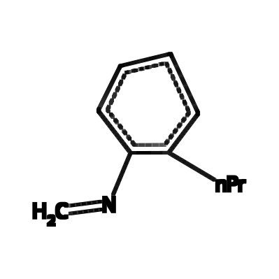 C=Nc1ccccc1CCC